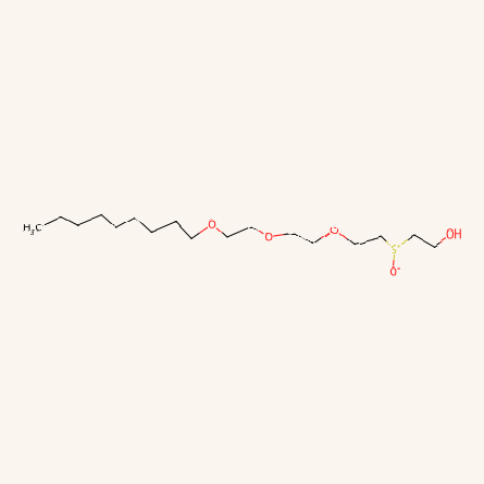 CCCCCCCCCOCCOCCOCC[S+]([O-])CCO